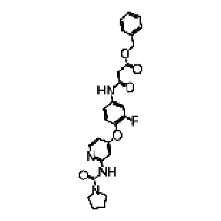 O=C(CC(=O)OCc1ccccc1)Nc1ccc(Oc2ccnc(NC(=O)N3CCCC3)c2)c(F)c1